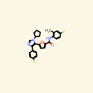 Cc1cc(F)ccc1NC(=O)c1ccc(-c2c(-c3ccc(F)cc3)ncn2C2CCCC2)o1